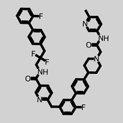 Cc1ccc(NC(=O)CN2CCC(c3ccc(-c4cc(Cc5ccc(C(=O)NCC(F)(F)Cc6ccc(-c7ccccc7F)cc6)cn5)ccc4F)cc3)CC2)cn1